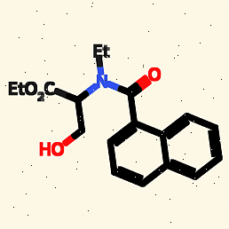 CCOC(=O)C(CO)N(CC)C(=O)c1cccc2ccccc12